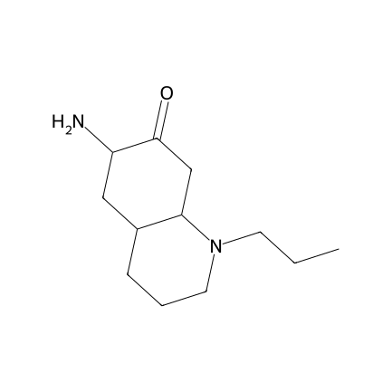 CCCN1CCCC2CC(N)C(=O)CC21